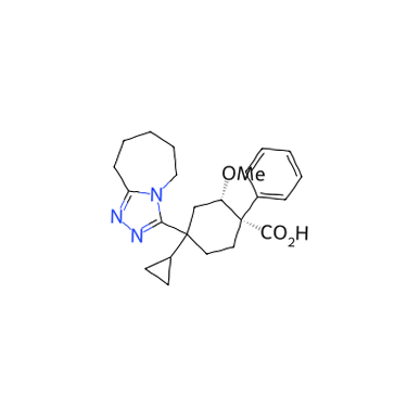 CO[C@H]1CC(c2nnc3n2CCCCC3)(C2CC2)CC[C@]1(C(=O)O)c1ccccc1